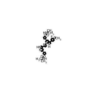 COc1ccc(-c2c[nH]c3c2cc([C@H]2CC[C@@H](OC(=O)NC(C)C)C2)c[n+]3-n2ccc(-c3c[nH]c4ncc([C@H]5CC[C@@H](OC(=O)NC(C)C)C5)cc34)n2)cc1F